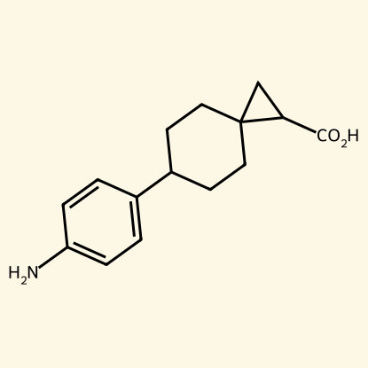 Nc1ccc(C2CCC3(CC2)CC3C(=O)O)cc1